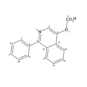 O=C(O)Oc1cnc(-c2ccccc2)c2ccccc12